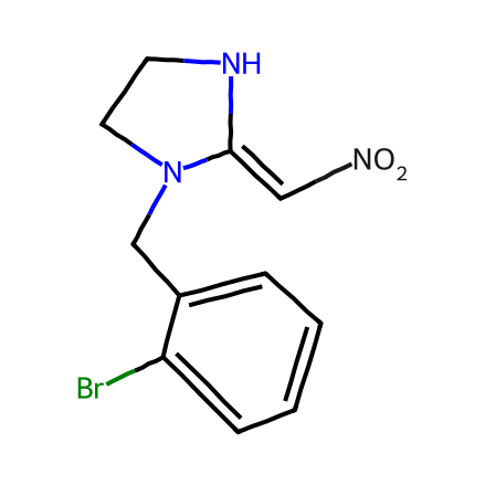 O=[N+]([O-])C=C1NCCN1Cc1ccccc1Br